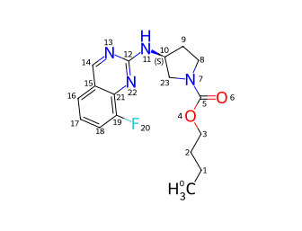 CCCCOC(=O)N1CC[C@H](Nc2ncc3cccc(F)c3n2)C1